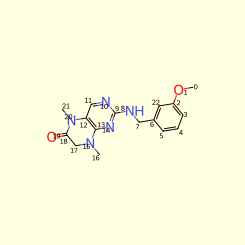 COc1cccc(CNc2ncc3c(n2)N(C)CC(=O)N3C)c1